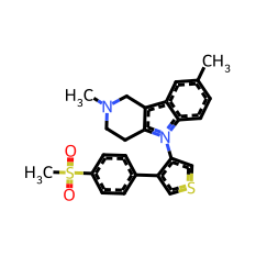 Cc1ccc2c(c1)c1c(n2-c2cscc2-c2ccc(S(C)(=O)=O)cc2)CCN(C)C1